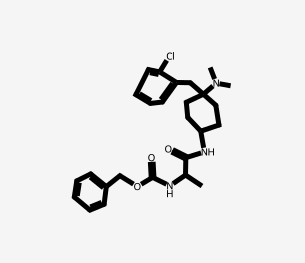 CC(NC(=O)OCc1ccccc1)C(=O)NC1CCC(Cc2ccccc2Cl)(N(C)C)CC1